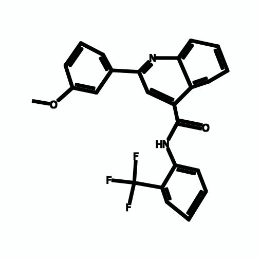 COc1cccc(-c2cc(C(=O)Nc3ccccc3C(F)(F)F)c3ccccc3n2)c1